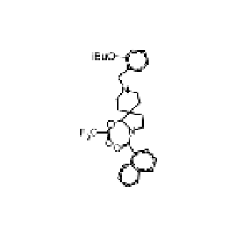 CC(C)COc1ccccc1CN1CCC2(CC1)CCN(C(=O)c1cccc3ccccc13)C2OC(=O)C(F)(F)F